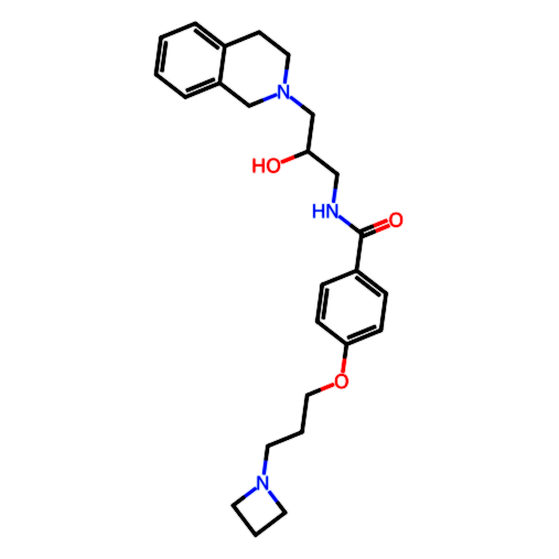 O=C(NCC(O)CN1CCc2ccccc2C1)c1ccc(OCCCN2CCC2)cc1